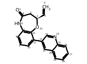 C=C[C@@H]1CC(=O)Nc2cccc(-c3cnc4ccccc4c3)c2O1